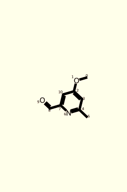 COc1cc(C)nc(C=O)c1